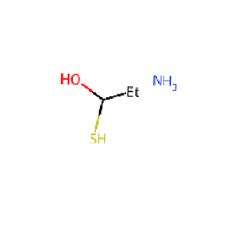 CCC(O)S.N